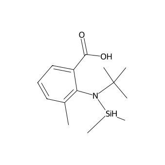 Cc1cccc(C(=O)O)c1N([SiH](C)C)C(C)(C)C